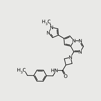 CCc1ccc(CNC(=O)C2CN(c3ncnn4cc(-c5cnn(C)c5)cc34)C2)cc1